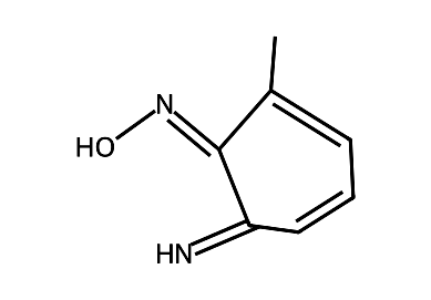 CC1=CC=CC(=N)/C1=N\O